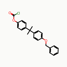 CC(C)(c1ccc(OCc2ccccc2)cc1)c1ccc(OC(=O)Cl)cc1